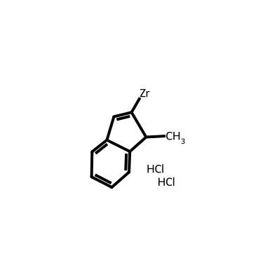 CC1[C]([Zr])=Cc2ccccc21.Cl.Cl